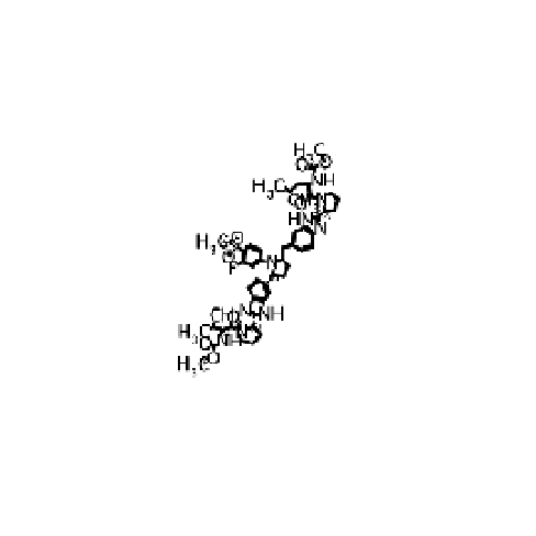 COC(=O)NC(CC(C)C)C(=O)N1CCC[C@H]1c1nc2ccc(CC3CC[C@H](c4ccc5nc([C@@H]6CCCN6C(=O)[C@@H](NC(=O)OC)C(C)C)[nH]c5c4)N3c3ccc(S(C)(=O)=O)c(F)c3)cc2[nH]1